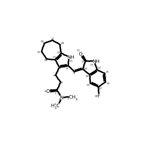 CN(C)C(=O)CCc1c(/C=C2\C(=O)Nc3ccc(F)cc32)[nH]c2c1CCCCC2